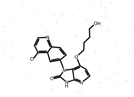 O=c1[nH]c2nccc(OCCCCO)c2n1-c1ccc2nccc(Cl)c2c1